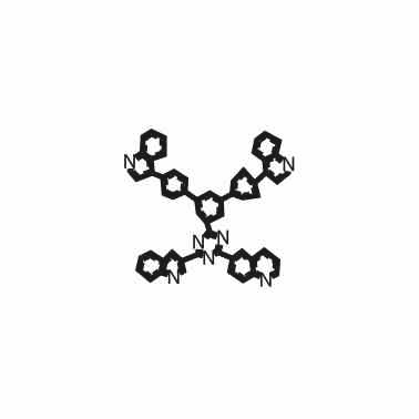 c1cnc2ccc(-c3nc(-c4cc(-c5ccc(-c6ccnc7ccccc67)cc5)cc(-c5ccc(-c6ccnc7ccccc67)cc5)c4)nc(-c4cnc5ccccc5c4)n3)cc2c1